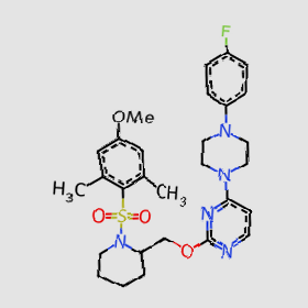 COc1cc(C)c(S(=O)(=O)N2CCCCC2COc2nccc(N3CCN(c4ccc(F)cc4)CC3)n2)c(C)c1